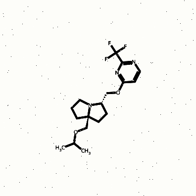 CC(C)OC[C@@]12CCCN1[C@H](COc1ccnc(C(F)(F)F)n1)CC2